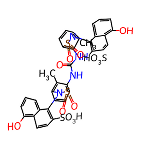 Cc1c2ccc(c1NC(=O)Nc1c3ccc(c1C)N(c1c(S(=O)(=O)O)ccc4c(O)cccc14)S3(=O)=O)S(=O)(=O)N2c1c(S(=O)(=O)O)ccc2c(O)cccc12